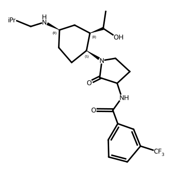 CC(C)CN[C@@H]1CC[C@H](N2CCC(NC(=O)c3cccc(C(F)(F)F)c3)C2=O)[C@H](C(C)O)C1